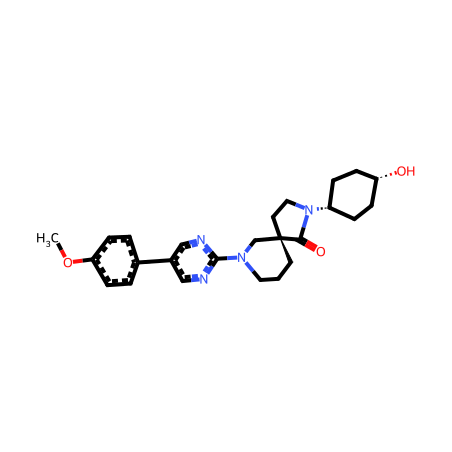 COc1ccc(-c2cnc(N3CCC[C@]4(CCN([C@H]5CC[C@@H](O)CC5)C4=O)C3)nc2)cc1